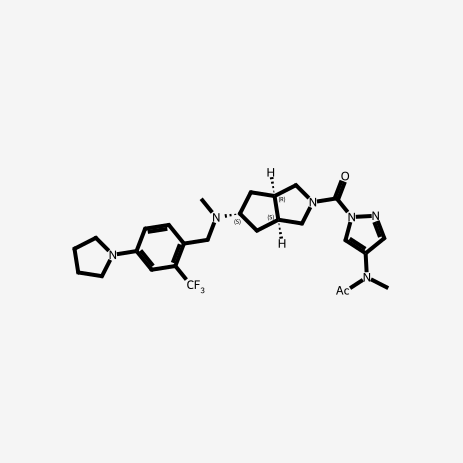 CC(=O)N(C)c1cnn(C(=O)N2C[C@H]3C[C@H](N(C)Cc4ccc(N5CCCC5)cc4C(F)(F)F)C[C@H]3C2)c1